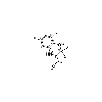 Cc1cc(C)c2c(c1)NC(C=O)C(C)(C)O2